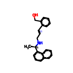 C[C@@H](NC/C=C/c1ccccc1CO)c1cccc2ccccc12